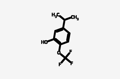 CC(C)c1ccc(OC(F)(F)F)c(O)c1